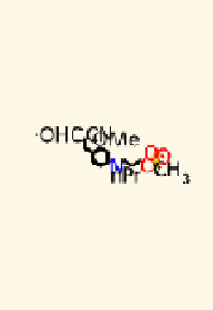 CCCN(CCCOS(C)(=O)=O)c1ccc(C=C([C]=O)C#N)c(OC)c1